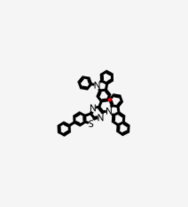 c1ccc(-c2ccc3c(c2)sc2nc(-n4c5ccccc5c5cc6ccccc6cc54)c(-c4ccc5c6ccccc6n(-c6ccccc6)c5c4)nc23)cc1